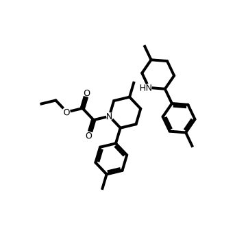 CCOC(=O)C(=O)N1CC(C)CCC1c1ccc(C)cc1.Cc1ccc(C2CCC(C)CN2)cc1